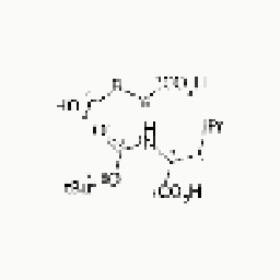 CC(C)CC(NC(=O)OC(C)(C)C)C(=O)O.O=C(O)CCC(=O)O